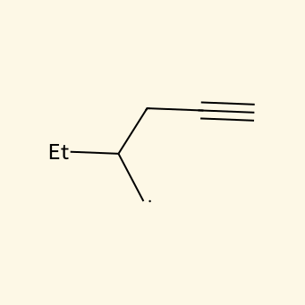 C#CCC([CH2])CC